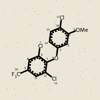 COc1cc(Oc2c(Cl)cc(C(F)(F)F)cc2Cl)ccc1Cl